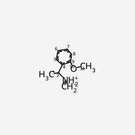 [CH2-][NH2+]C(C)c1ccccc1OC